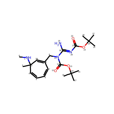 CNC1(C)C=CC=CC(CN(C(=O)OC(C)(C)C)/C(N)=N/C(=O)OC(C)(C)C)=C1